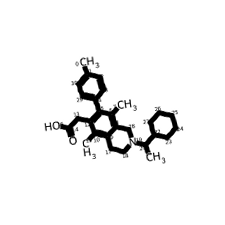 Cc1ccc(-c2c(C)c3c(c(C)c2CC(=O)O)CCN(C(C)C2CCCCC2)C3)cc1